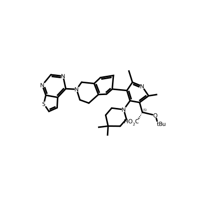 Cc1nc(C)c([C@H](OC(C)(C)C)C(=O)O)c(N2CCC(C)(C)CC2)c1-c1ccc2c(c1)CCN(c1ncnc3sccc13)C2